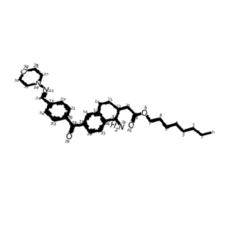 CCCCCCCCOC(=O)CC1CCc2cc(C(=O)c3ccc(C=NN4CCOCC4)cc3)ccc2C1N